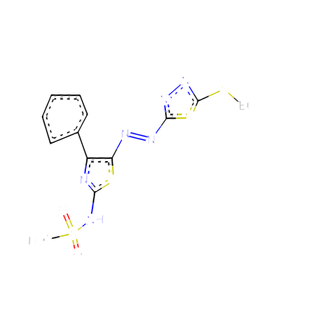 CCSc1nnc(/N=N/c2sc(NS(C)(=O)=O)nc2-c2ccccc2)s1